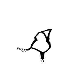 CCOC(=O)C1CC2CC2CC1=O